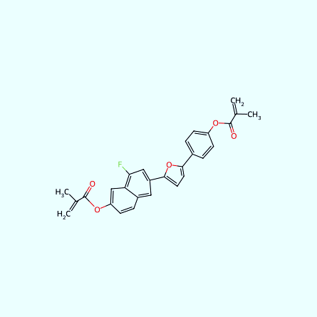 C=C(C)C(=O)Oc1ccc(-c2ccc(-c3cc(F)c4cc(OC(=O)C(=C)C)ccc4c3)o2)cc1